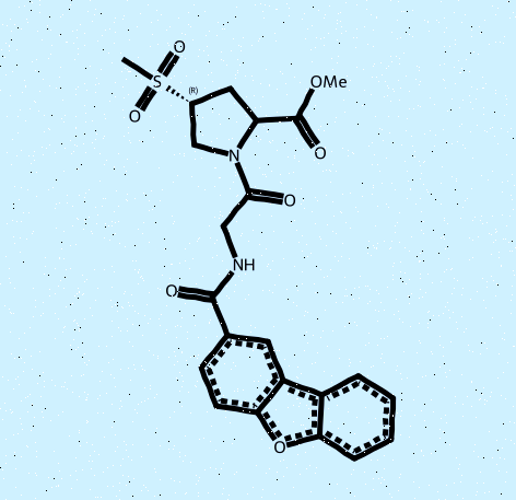 COC(=O)C1C[C@@H](S(C)(=O)=O)CN1C(=O)CNC(=O)c1ccc2oc3ccccc3c2c1